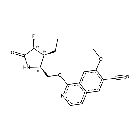 CC[C@@H]1[C@H](F)C(=O)N[C@@H]1COc1nccc2cc(C#N)c(OC)cc12